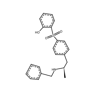 C[C@H](Cc1ccc(S(=O)(=O)c2ccccc2O)cc1)NCc1ccccc1